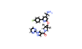 CC(C)(N)c1cc(O[C@@H]2[C@@H]3CN(C(=O)c4cnn(-c5ncccn5)c4)C[C@@H]32)nc(-c2ccc(F)cc2)c1